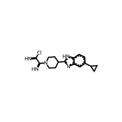 N=C(Cl)C(=N)N1CCC(c2nc3cc(C4CC4)ccc3[nH]2)CC1